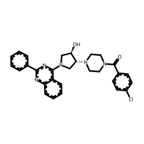 O=C(c1ccc(Cl)cc1)N1CCN([C@@H]2CN(c3nc(-c4ccccc4)nc4ccccc34)C[C@H]2O)CC1